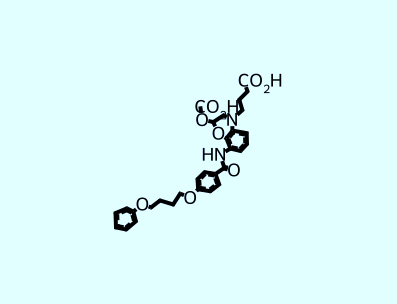 O=C(O)CCCN1CC(OC(=O)O)Oc2c(NC(=O)c3ccc(OCCCCOc4ccccc4)cc3)cccc21